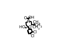 CC(C)(C)C1CN(C(=O)O)CC[C@@](CO)(c2ccc(Cl)c(Cl)c2)O1